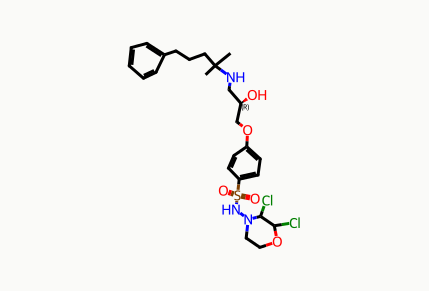 CC(C)(CCCc1ccccc1)NC[C@@H](O)COc1ccc(S(=O)(=O)NN2CCOC(Cl)C2Cl)cc1